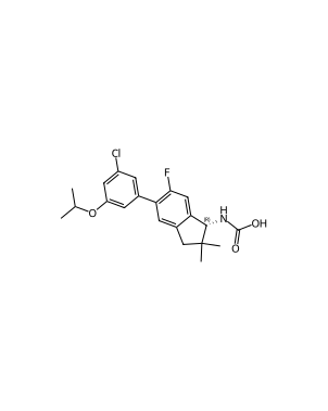 CC(C)Oc1cc(Cl)cc(-c2cc3c(cc2F)[C@H](NC(=O)O)C(C)(C)C3)c1